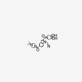 CC(C)N1CCN(C(=O)c2ccc3c(c2)cc(C(=O)N2CCS(O)(O)CC2)n3CC#N)CC1